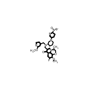 COc1cc(CN(Cc2cn3c4c(c(OC)c(F)cc4c2=O)OC[C@@H]3C)[C@H]2CCCN(c3ccc([N+](=O)[O-])nc3)C2)ccn1